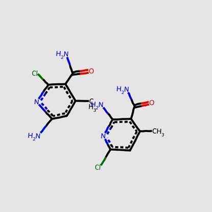 Cc1cc(Cl)nc(N)c1C(N)=O.Cc1cc(N)nc(Cl)c1C(N)=O